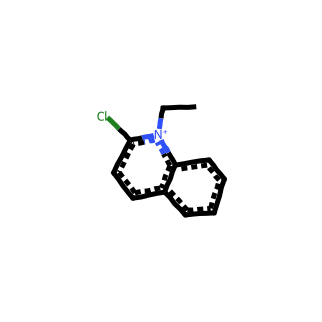 CC[n+]1c(Cl)ccc2ccccc21